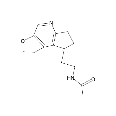 CC(=O)NCCC1CCc2ncc3c(c21)CCO3